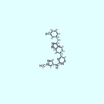 Cn1cc(Nc2nccc(-c3ccn4c(Cc5cccc(F)c5)nnc4c3)n2)cn1